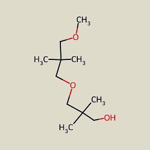 COCC(C)(C)COCC(C)(C)CO